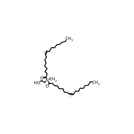 CCCCCCCC/C=C\CCCCCCCC(=O)[N+](C)(CCO)C(=O)CCCCCCC/C=C\CCCCCCCC